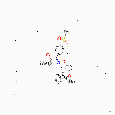 COC(=O)/C(=N/O[C@@H]1CC[C@@H](O[Si](C)(C)C(C)(C)C)C1)c1ccc(S(=O)(=O)C2CC2)cc1